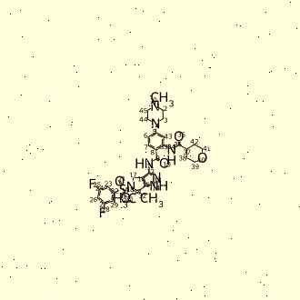 CN1CCN(c2ccc(C(=O)Nc3n[nH]c4c3CN(S(=O)(=O)c3cc(F)cc(F)c3)C4(C)C)c(NC(=O)C3CCOCC3)c2)CC1